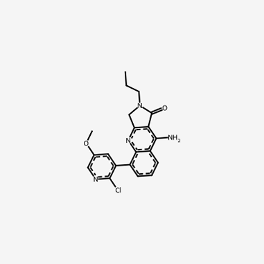 CCCN1Cc2nc3c(-c4cc(OC)cnc4Cl)cccc3c(N)c2C1=O